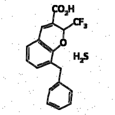 O=C(O)C1=Cc2cccc(Cc3ccccc3)c2OC1C(F)(F)F.S